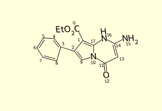 CCOC(=O)c1c(-c2ccccc2)cn2c(=O)cc(N)[nH]c12